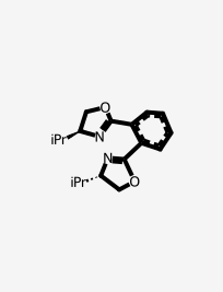 CC(C)[C@H]1COC(c2ccccc2C2=N[C@@H](C(C)C)CO2)=N1